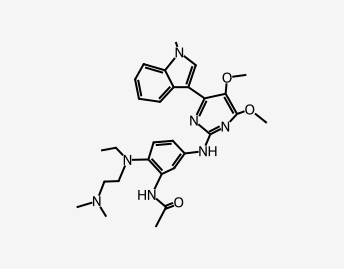 CCN(CCN(C)C)c1ccc(Nc2nc(OC)c(OC)c(-c3cn(C)c4ccccc34)n2)cc1NC(C)=O